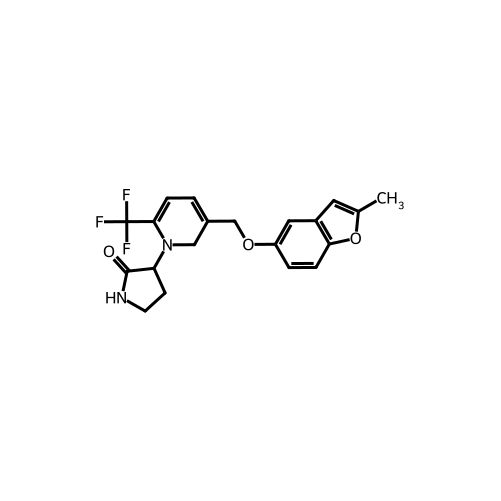 Cc1cc2cc(OCC3=CC=C(C(F)(F)F)N(C4CCNC4=O)C3)ccc2o1